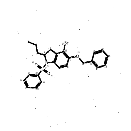 CCCC1Cc2c(ccc(OCc3ccccc3)c2Br)N1S(=O)(=O)c1ccccc1